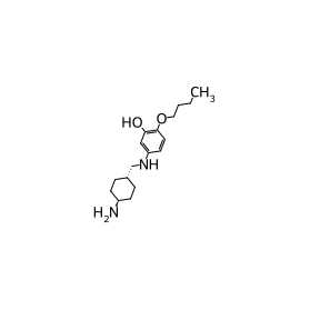 CCCCOc1ccc(NC[C@H]2CC[C@H](N)CC2)cc1O